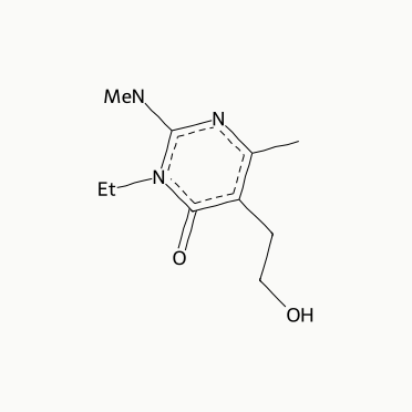 CCn1c(NC)nc(C)c(CCO)c1=O